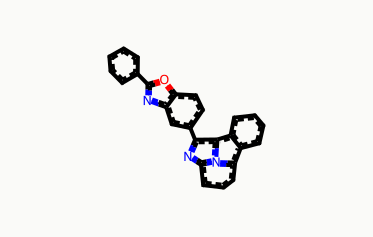 c1ccc(-c2nc3cc(-c4nc5cccc6c7ccccc7c4n56)ccc3o2)cc1